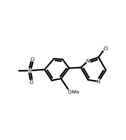 COc1cc(S(C)(=O)=O)ccc1-c1cncc(Cl)n1